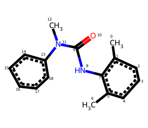 Cc1cccc(C)c1NC(=O)N(C)c1ccccc1